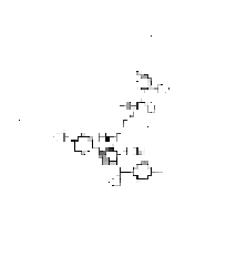 Cc1ccc(C(=O)c2nn(-c3ccc(Cl)cc3)c(NCCCNC(=O)c3cscc3Br)c2C#N)cc1